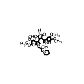 COc1cc2[nH]cc(C3=C(c4cn(CC(O)CN5CCCCC5)c5cc(OC)c(OC)cc45)C(=O)NC3=O)c2cc1OC